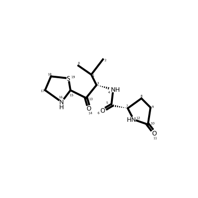 CC(C)[C@H](NC(=O)[C@@H]1CCC(=O)N1)C(=O)C1NCCS1